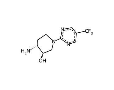 N[C@@H]1CCN(c2ncc(C(F)(F)F)cn2)C[C@H]1O